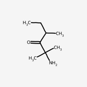 CCC(C)C(=O)C(C)(C)N